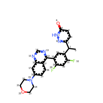 CC(c1ccc(=O)[nH]n1)c1cc(-c2ncnc3cc(N4CCOCC4)ccc23)c(F)cc1F